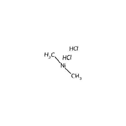 Cl.Cl.[CH3][Ni][CH3]